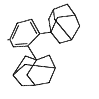 [c]1ccc(C23CC4CC(CC(C4)C2)C3)c(C23CC4CC(CC(C4)C2)C3)c1